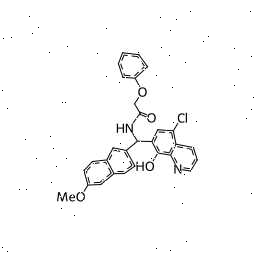 COc1ccc2cc(C(NC(=O)COc3ccccc3)c3cc(Cl)c4cccnc4c3O)ccc2c1